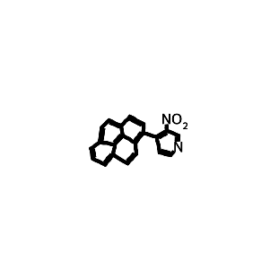 O=[N+]([O-])c1cnccc1-c1ccc2ccc3cccc4ccc1c2c34